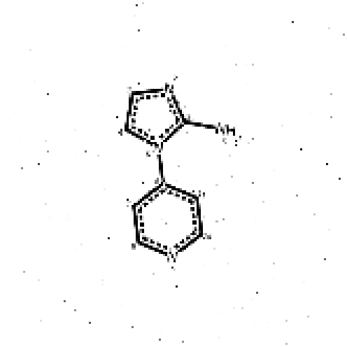 Nc1nccn1-c1ccncc1